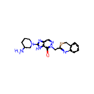 NC1CCCN(c2nc3cnn(CC4=Nc5ccccc5CS4)c(=O)c3[nH]2)C1